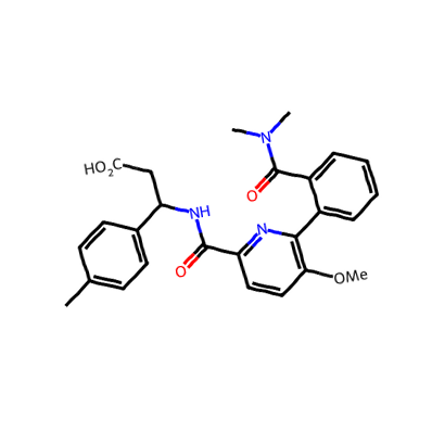 COc1ccc(C(=O)NC(CC(=O)O)c2ccc(C)cc2)nc1-c1ccccc1C(=O)N(C)C